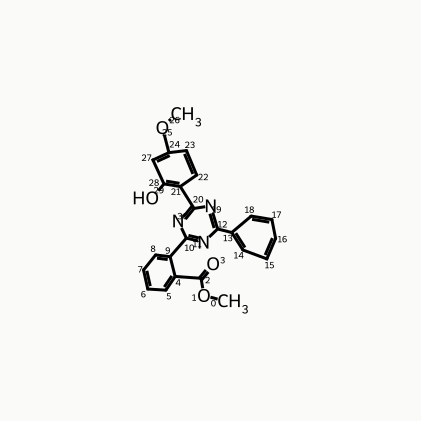 COC(=O)c1ccccc1-c1nc(-c2ccccc2)nc(-c2ccc(OC)cc2O)n1